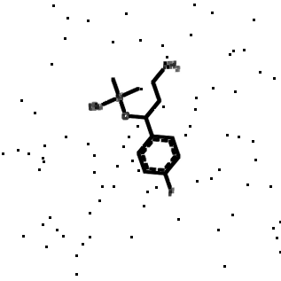 CC(C)(C)[Si](C)(C)OC(CCN)c1ccc(F)cc1